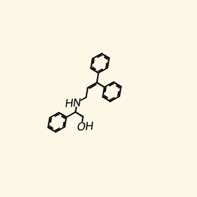 OCC(NCC=C(c1ccccc1)c1ccccc1)c1ccccc1